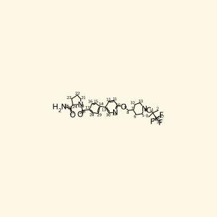 CC(C)(CN1CCC(COc2ccc(-c3ccc(C(=O)N4CCCC4C(N)=O)cc3)cn2)CC1)C(F)(F)F